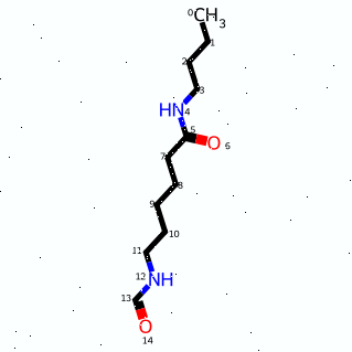 CCCCNC(=O)CCCCCNC=O